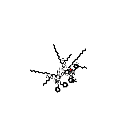 CCCCCCCCCCC[C@H](CC(=O)N[C@H](CO[C@@H]1O[C@H](CO[Si](C)(C)C(C)(C)C)[C@](O)(P(=O)(OCc2ccccc2)OCc2ccccc2)[C@H](OC(=O)C[C@@H](CCCCCCCCCCC)OC(=O)CCCCC)[C@H]1NC(=O)C[C@@H](CCCCCCCCCCC)OC(=O)CCCCC)COP(=O)(OCc1ccccc1)OCc1ccccc1)OC(=O)CCCCC